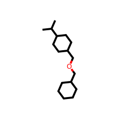 CC(C)C1CCC(COCC2CCCCC2)CC1